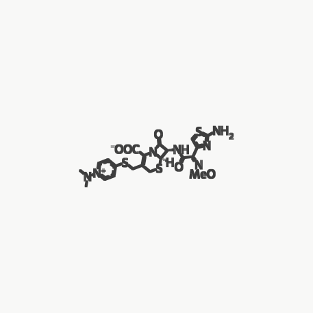 CO/N=C(\C(=O)N[C@@H]1C(=O)N2C(C(=O)[O-])=C(CSc3cc[n+](N(C)C)cc3)CS[C@H]12)c1csc(N)n1